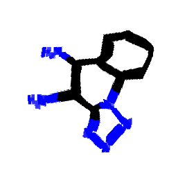 Nc1c(N)c2nnnn2c2ccccc12